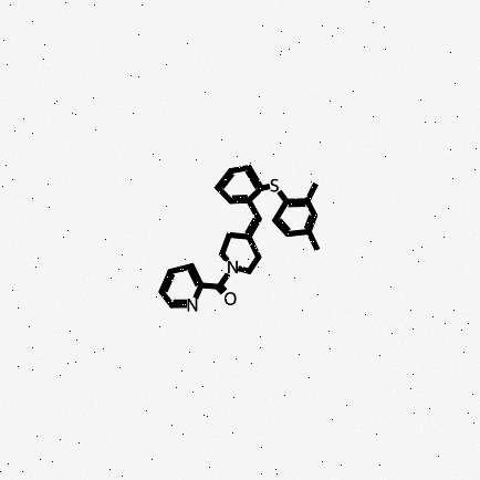 Cc1ccc(Sc2ccccc2C=C2CCN(C(=O)c3ccccn3)CC2)c(C)c1